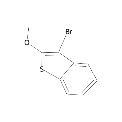 COc1sc2ccccc2c1Br